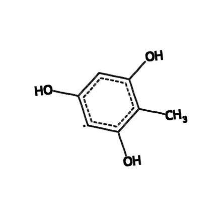 Cc1c(O)[c]c(O)cc1O